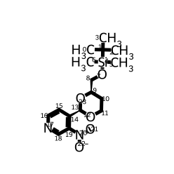 CC(C)(C)[Si](C)(C)OC[C@H]1CCO[C@@H](c2ccncc2[N+](=O)[O-])O1